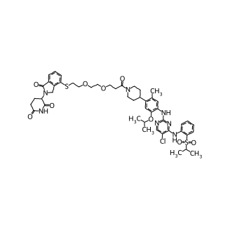 Cc1cc(Nc2ncc(Cl)c(Nc3ccccc3S(=O)(=O)C(C)C)n2)c(OC(C)C)cc1C1CCN(C(=O)CCOCCOCCSc2cccc3c2CN(C2CCC(=O)NC2=O)C3=O)CC1